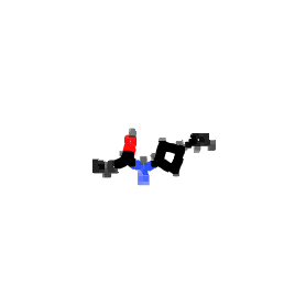 CC(=O)N[C@H]1C[C@H](C)C1